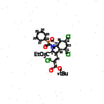 CCOC(=O)c1c(C=C(Cl)C(=O)OC(C)(C)C)c2c(Cl)cc(Cl)cc2n1S(=O)(=O)c1ccccc1